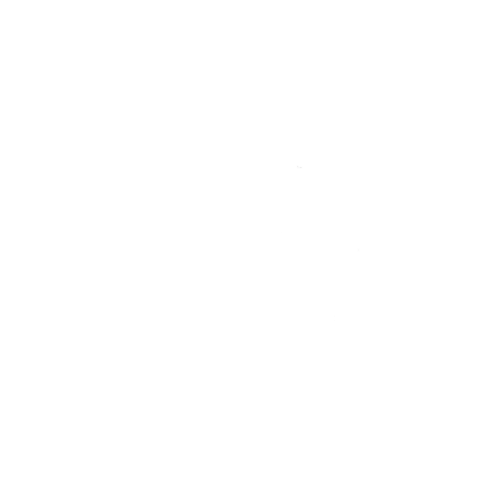 Cc1ccc(-c2cc(Cl)ccc2C(C)C)cc1F